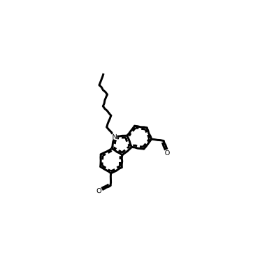 CCCCCCn1c2ccc(C=O)cc2c2cc(C=O)ccc21